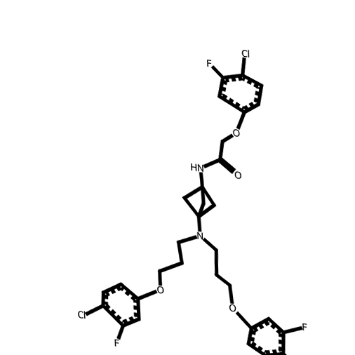 O=C(COc1ccc(Cl)c(F)c1)NC12CC(N(CCCOc3ccc(Cl)c(F)c3)CCCOc3ccc(Cl)c(F)c3)(C1)C2